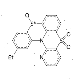 CCc1ccc2c(c1)N1c3ncccc3S(=O)(=O)c3cccc(c31)[S+]2[O-]